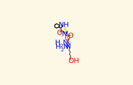 N/C(=C\N(N)CCCCCCO)COC(=O)c1csc(C(=O)c2c[nH]c3ccccc23)n1